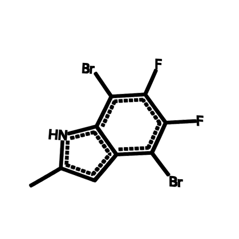 Cc1cc2c(Br)c(F)c(F)c(Br)c2[nH]1